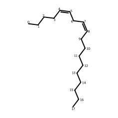 CCCC/C=C\C/C=C\CCCCCCCCC